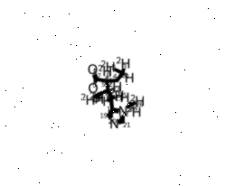 [2H]C([2H])([2H])C[C@]1([2H])C(=O)OC([2H])([2H])[C@]1([2H])C([2H])([2H])c1cncn1C([2H])([2H])[2H]